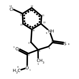 COC(=O)C1(C)CC(=S)Nc2ccc(Cl)cc2C1